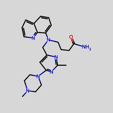 Cc1nc(CN(CCCC(N)=O)c2cccc3cccnc23)cc(N2CCN(C)CC2)n1